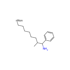 CCCCCCCCCCCCCCCC(C)C(N)c1ccccc1